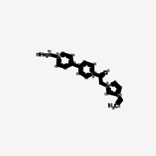 C=Cn1cc[n+](CC(=O)[n+]2ccc(-c3cc[n+](CCCCCCC)cc3)cc2)c1